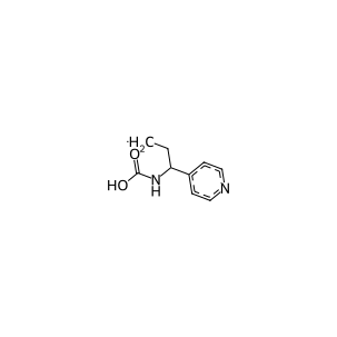 [CH2]CC(NC(=O)O)c1ccncc1